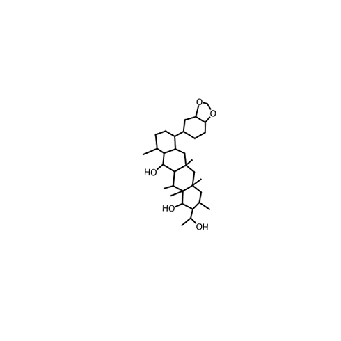 CC(O)C1C(C)CC2(C)CC3(C)CC4C(C5CCC6OCOC6C5)CCC(C)C4C(O)C3C(C)C2(C)C1O